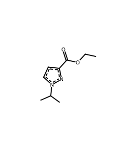 CCOC(=O)c1ccn(C(C)C)n1